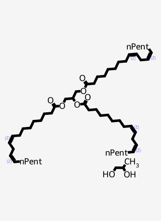 CC(O)CO.CCCCC/C=C\C/C=C\CCCCCCCC(=O)OCC(COC(=O)CCCCCCC/C=C\C/C=C\CCCCC)OC(=O)CCCCCCC/C=C\C/C=C\CCCCC